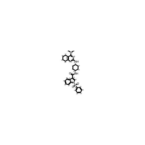 CN(C)c1nc(N[C@H]2CC[C@@H](NC(=O)c3cn(S(=O)(=O)c4ccccc4)c4ccccc34)CC2)nc2c1CCCC2